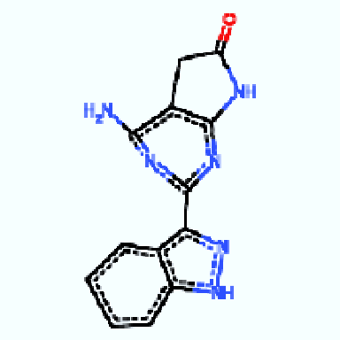 Nc1nc(-c2n[nH]c3ccccc23)nc2c1CC(=O)N2